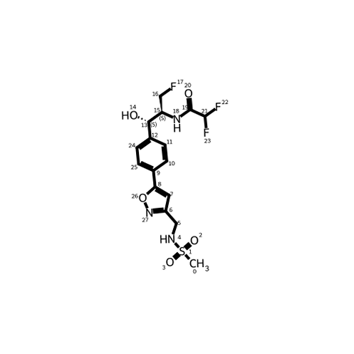 CS(=O)(=O)NCc1cc(-c2ccc([C@H](O)[C@@H](CF)NC(=O)C(F)F)cc2)on1